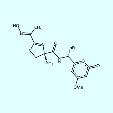 CCC[C@@H](NC(=O)[C@]1(N)CSC(/C(C)=N/O)=N1)c1cc(OC)cc(=O)o1